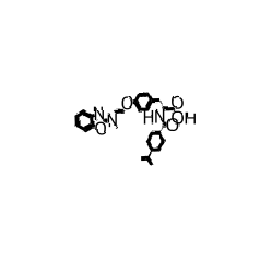 CC(C)[C@H]1CC[C@H](C(=O)N[C@H](Cc2ccc(OCCN(C)c3nc4ccccc4o3)cc2)C(=O)O)CC1